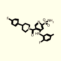 Cc1ccc(F)c(Nc2cc(S(N)(=O)=O)ncc2C(=O)N2CCC(c3ccc(F)cc3)CC2)c1